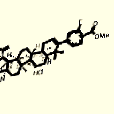 C=C(C)[C@@H]1CC[C@]2(N)CC[C@]3(C)[C@H](CC[C@@H]4[C@@]5(C)CC=C(c6ccc(C(=O)OC)c(F)c6)C(C)(C)[C@@H]5CC[C@]43C)[C@@H]12.Cl